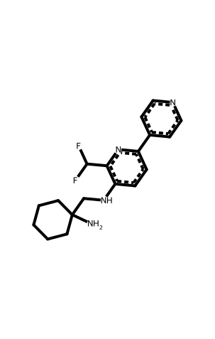 NC1(CNc2ccc(-c3ccncc3)nc2C(F)F)CCCCC1